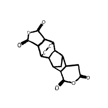 O=C1CC2C3CC(C2C(=O)O1)C1C2CCC(C4C(=O)OC(=O)C24)C31